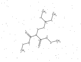 CCOC(=O)C(CCN(CC)CC)C(=O)OCC